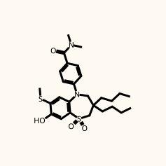 CCCCC1(CCCC)CN(c2ccc(C(=O)N(C)C)cc2)c2cc(SC)c(O)cc2S(=O)(=O)C1